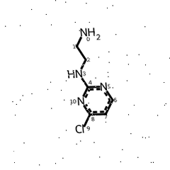 NCCNc1nccc(Cl)n1